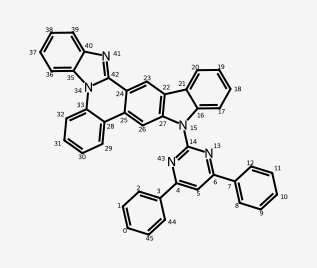 c1ccc(-c2cc(-c3ccccc3)nc(-n3c4ccccc4c4cc5c(cc43)c3ccccc3n3c4ccccc4nc53)n2)cc1